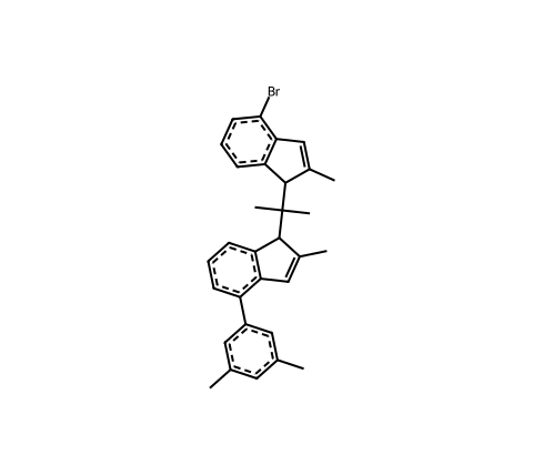 CC1=Cc2c(Br)cccc2C1C(C)(C)C1C(C)=Cc2c(-c3cc(C)cc(C)c3)cccc21